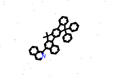 CC1(C)c2cc3c(cc2-c2c1cc(-c1nccc4ccccc14)c1ccccc21)C(c1ccccc1)(c1ccccc1)c1ccccc1-3